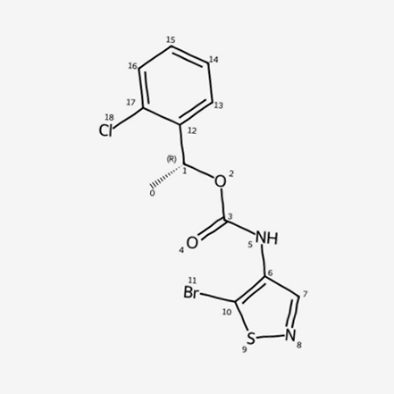 C[C@@H](OC(=O)Nc1cnsc1Br)c1ccccc1Cl